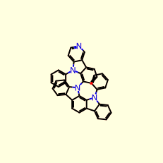 c1ccc(-n2c3ccncc3c3cccc(-n4c5ccccc5c5ccc6c7ccccc7n(-c7ccccc7)c6c54)c32)cc1